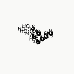 CN1CCC[C@H]1c1cccnc1.CN1CCC[C@H]1c1cccnc1.CN1CCC[C@H]1c1cccnc1.O=C(O)CC(O)(CC(=O)O)C(=O)O